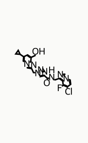 O=C(NCc1ncn2ccc(Cl)c(F)c12)c1cn(Cc2cn3cc(C4CC4)cc(CO)c3n2)nn1